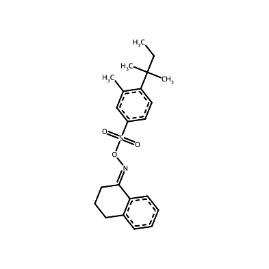 CCC(C)(C)c1ccc(S(=O)(=O)ON=C2CCCc3ccccc32)cc1C